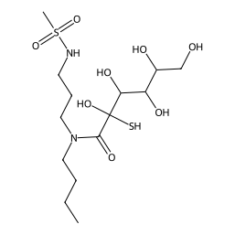 CCCCN(CCCNS(C)(=O)=O)C(=O)C(O)(S)C(O)C(O)C(O)CO